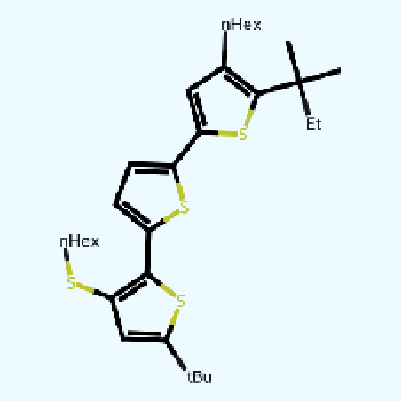 CCCCCCSc1cc(C(C)(C)C)sc1-c1ccc(-c2cc(CCCCCC)c(C(C)(C)CC)s2)s1